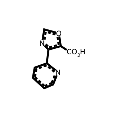 O=C(O)c1ocnc1-c1ccccn1